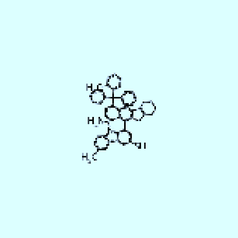 Cc1ccc2c(c1)c1cc(S)cc(-c3c4c(cc5c(C(c6ccccc6)(c6ccccc6)c6ccccc6C)cccc35)C3=C(CCC=C3)C4)c1n2CN